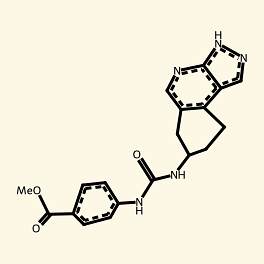 COC(=O)c1ccc(NC(=O)NC2CCc3c(cnc4[nH]ncc34)C2)cc1